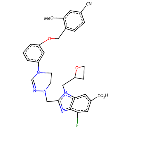 COc1cc(C#N)ccc1COc1cccc(N2C=NN(Cc3nc4c(F)cc(C(=O)O)cc4n3CC3CCO3)CC2)c1